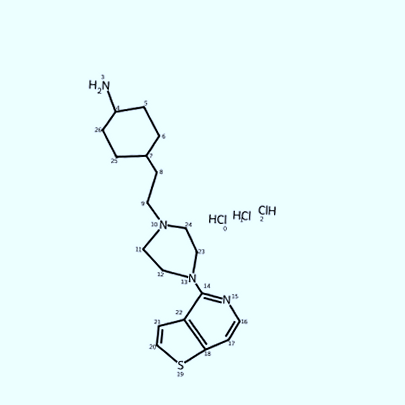 Cl.Cl.Cl.NC1CCC(CCN2CCN(c3nccc4sccc34)CC2)CC1